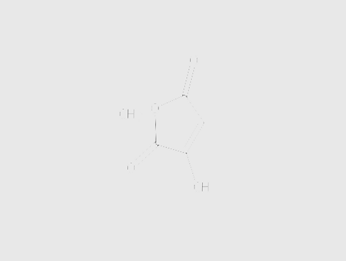 CC1=CC(=O)OC1=O.[CH3]